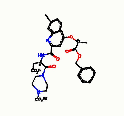 CCOC(=O)N1CCN(C(=O)[C@H](CC(=O)O)NC(=O)c2cc(O[C@H](C)C(=O)OCc3ccccc3)c3ccc(C)cc3n2)CC1